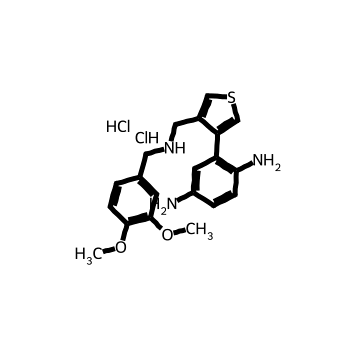 COc1ccc(CNCc2cscc2-c2cc(N)ccc2N)cc1OC.Cl.Cl